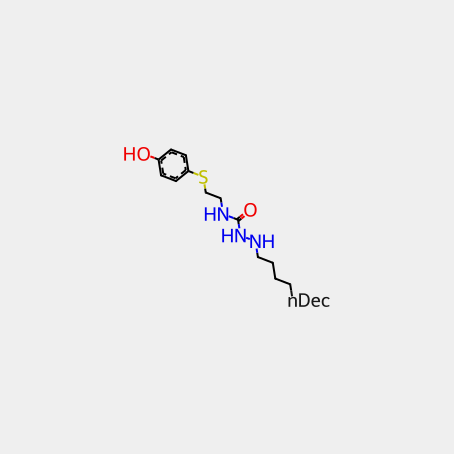 CCCCCCCCCCCCCCNNC(=O)NCCSc1ccc(O)cc1